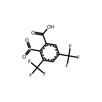 O=C(O)c1cc(C(F)(F)F)cc(C(F)(F)F)c1I(=O)=O